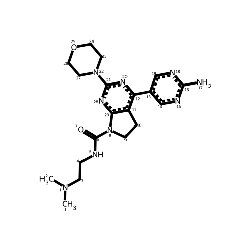 CN(C)CCNC(=O)N1CCc2c(-c3cnc(N)nc3)nc(N3CCOCC3)nc21